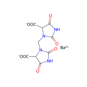 O=C([O-])C1C(=O)NC(=O)N1CN1C(=O)NC(=O)C1C(=O)[O-].[Ba+2]